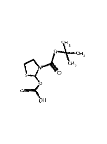 CC(C)(C)OC(=O)N1CCSC1OC(=O)O